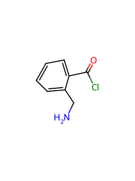 NCc1ccccc1C(=O)Cl